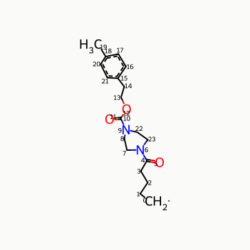 [CH2]CCCC(=O)N1CCN(C(=O)OCCc2ccc(C)cc2)CC1